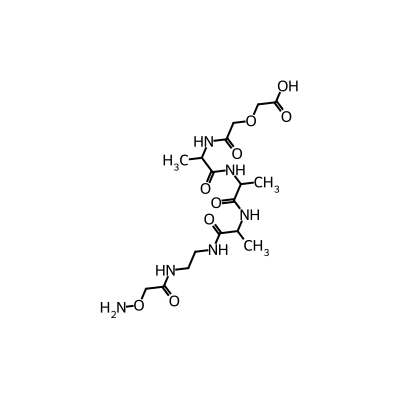 CC(NC(=O)COCC(=O)O)C(=O)NC(C)C(=O)NC(C)C(=O)NCCNC(=O)CON